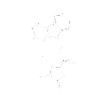 O=C(OCC1c2ccccc2-c2ccccc21)C1CC(=O)N(O)C1=O